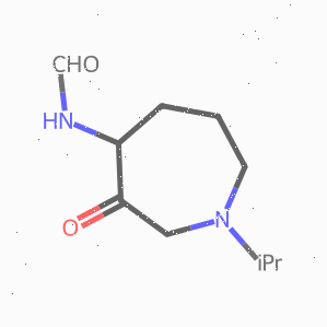 CC(C)N1CCCC(NC=O)C(=O)C1